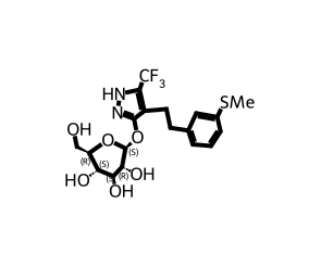 CSc1cccc(CCc2c(O[C@@H]3O[C@H](CO)[C@@H](O)[C@H](O)[C@H]3O)n[nH]c2C(F)(F)F)c1